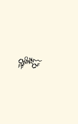 CCCCCN1N=C(C(=O)Nc2ccccc2C(F)(F)F)CC1c1cccc(F)c1